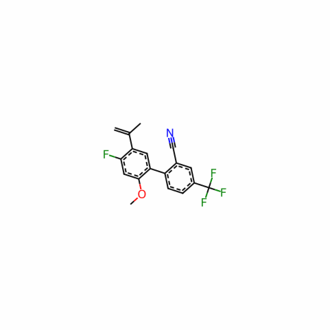 C=C(C)c1cc(-c2ccc(C(F)(F)F)cc2C#N)c(OC)cc1F